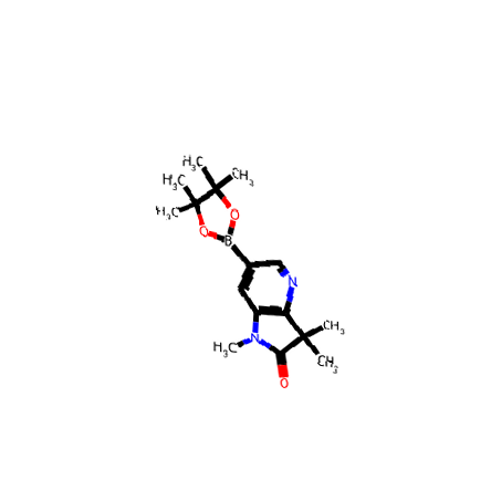 CN1C(=O)C(C)(C)c2ncc(B3OC(C)(C)C(C)(C)O3)cc21